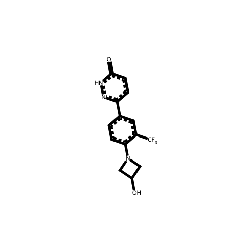 O=c1ccc(-c2ccc(N3CC(O)C3)c(C(F)(F)F)c2)n[nH]1